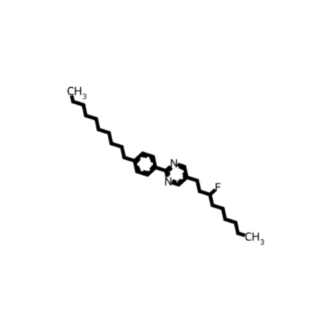 CCCCCCCCCCc1ccc(-c2ncc(CCC(F)CCCCCC)cn2)cc1